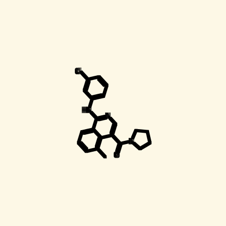 Cc1cccc2c(Nc3cccc(Cl)c3)ncc(C(=O)N3CCCC3)c12